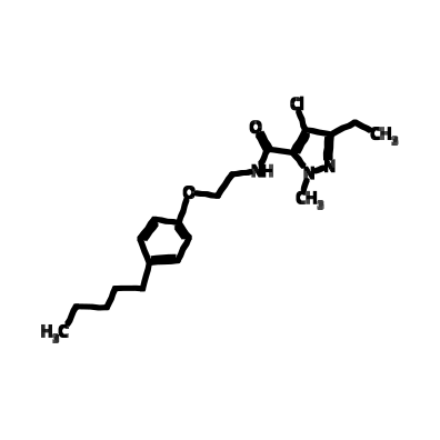 CCCCCc1ccc(OCCNC(=O)c2c(Cl)c(CC)nn2C)cc1